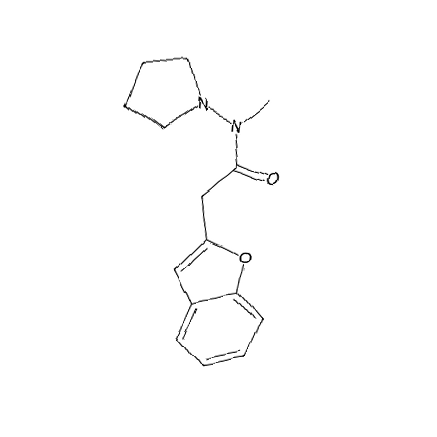 CN(C(=O)Cc1cc2ccccc2o1)N1CCCC1